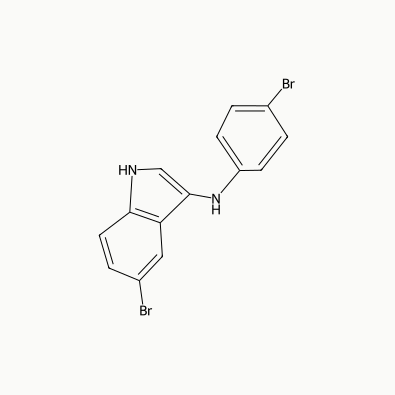 Brc1ccc(Nc2c[nH]c3ccc(Br)cc23)cc1